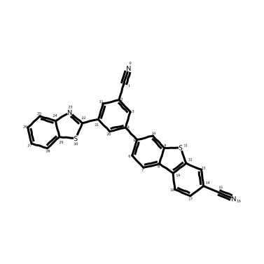 N#Cc1cc(-c2ccc3c(c2)sc2cc(C#N)ccc23)cc(-c2nc3ccccc3s2)c1